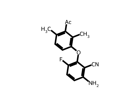 CC(=O)c1c(C)ccc(Oc2c(F)ccc(N)c2C#N)c1C